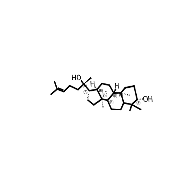 CC(C)=CCC[C@](C)(O)[C@H]1CC[C@@]2(C)[C@@H]1CC[C@@H]1[C@@]3(C)CC[C@H](O)C(C)(C)C3CC[C@]12C